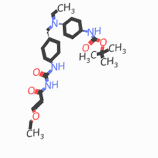 CCO/C=C/C(=O)NC(=O)N[C@H]1CC[C@H](CN(CC)[C@H]2CC[C@H](NC(=O)OC(C)(C)C)CC2)CC1